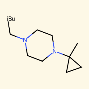 CCC(C)CN1CCN(C2(C)CC2)CC1